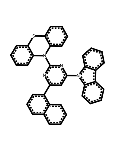 c1ccc2c(c1)Sc1ccccc1N2c1nc(-c2cccc3ccccc23)cc(-n2c3ccccc3c3ccccc32)n1